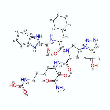 CC(C)(O)c1cnnn1[C@H]1C[C@@H](C(=O)NC(CCCCNC(=O)O)C(=O)C(N)=O)N(C(=O)[C@@H](CC2CCCCC2)NC(=O)c2nc3ccccc3[nH]2)C1